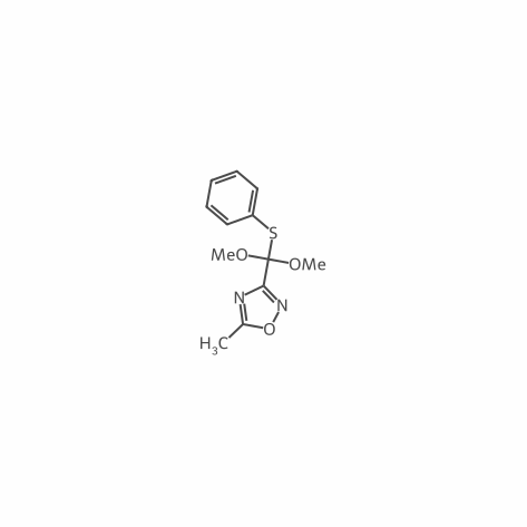 COC(OC)(Sc1ccccc1)c1noc(C)n1